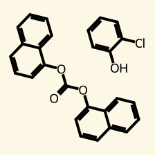 O=C(Oc1cccc2ccccc12)Oc1cccc2ccccc12.Oc1ccccc1Cl